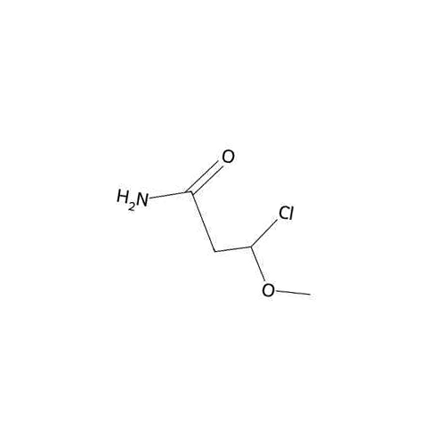 COC(Cl)CC(N)=O